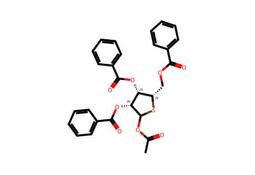 CC(=O)OC1S[C@@H](COC(=O)c2ccccc2)[C@@H](OC(=O)c2ccccc2)[C@H]1OC(=O)c1ccccc1